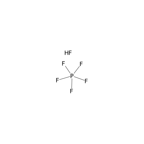 F.FP(F)(F)(F)F